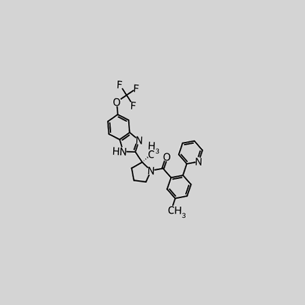 Cc1ccc(-c2ccccn2)c(C(=O)N2CCC[C@@]2(C)c2nc3cc(OC(F)(F)F)ccc3[nH]2)c1